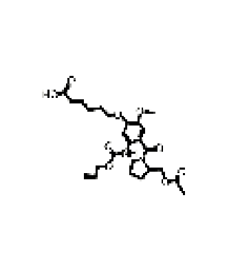 C=CCOC(=O)Nc1cc(OCCCCCC(=O)O)c(OC)cc1C(=O)N1CCCC1COC(C)=O